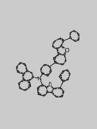 c1ccc(-c2cccc3c2oc2ccc(-c4ccc(N(c5cc6ccccc6c6ccccc56)c5cccc6c5oc5c(-c7ccccc7)cccc56)cc4)cc23)cc1